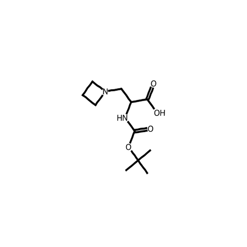 CC(C)(C)OC(=O)NC(CN1CCC1)C(=O)O